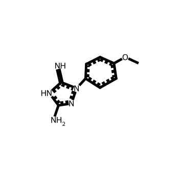 COc1ccc(-n2nc(N)[nH]c2=N)cc1